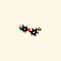 CCc1ccc(OCc2cccc(CBr)c2)cc1